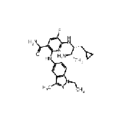 CCn1nc(C)c2cc(Nc3nc(N[C@H](CC4CC4)[C@H](C)N)c(F)cc3C(N)=O)ccc21